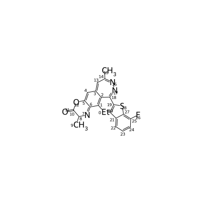 CCc1c2c(cc3c1=NC(C)C(=O)O3)=CC(C)=NN=C2c1cc2cccc(F)c2s1